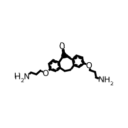 NCCCOc1ccc2c(c1)CCc1cc(OCCCN)ccc1-c1c-2c1=O